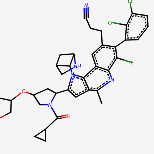 Cc1nc2c(F)c(-c3cccc(Cl)c3Cl)c(CCC#N)cc2c2c1cc(C1CC(OC3CCOC3)CN1C(=O)C1CC1)n2C1C2CNC1C2